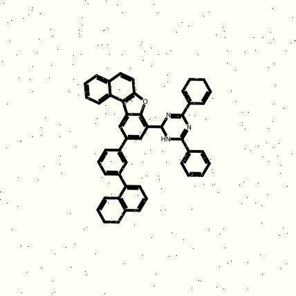 C1=CC(C2=NC(c3cc(-c4cccc(-c5cccc6c5C=CCC6)c4)cc4c3oc3ccc5ccccc5c34)NC(c3ccccc3)=N2)=CCC1